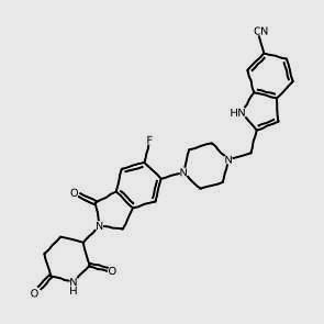 N#Cc1ccc2cc(CN3CCN(c4cc5c(cc4F)C(=O)N(C4CCC(=O)NC4=O)C5)CC3)[nH]c2c1